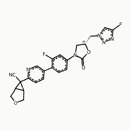 N#CC1(c2ccc(-c3ccc(N4C[C@H](Cn5cc(F)nn5)OC4=O)cc3F)cn2)C2COCC21